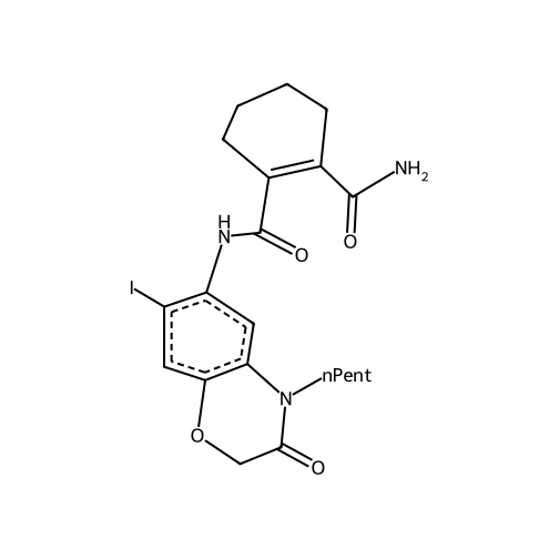 CCCCCN1C(=O)COc2cc(I)c(NC(=O)C3=C(C(N)=O)CCCC3)cc21